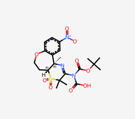 CC(C)(C)OC(=O)N(C(=O)O)C1=N[C@]2(C)c3cc([N+](=O)[O-])ccc3OCC[C@H]2S(=O)(=O)C1(C)C